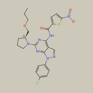 CCCOC[C@@H]1CCCN1c1nc(NC(=O)c2ccc([N+](=O)[O-])s2)c2cnn(-c3ccc(F)cc3)c2n1